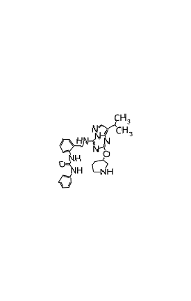 CC(C)c1cnn2c(NCc3ccccc3NC(=O)Nc3ccccc3)nc(O[C@@H]3CCCNC3)nc12